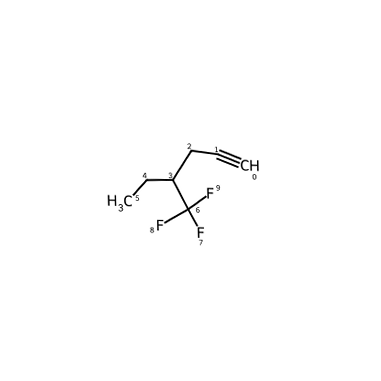 C#CCC(CC)C(F)(F)F